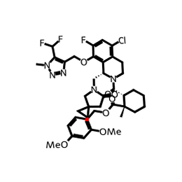 COc1ccc(COC(=O)[C@@]2(C)CCCC[C@H]2C(=O)N2CCc3c(Cl)cc(F)c(OCc4nnn(C)c4C(F)F)c3[C@H]2CN2CC3(CC3)CC2=O)c(OC)c1